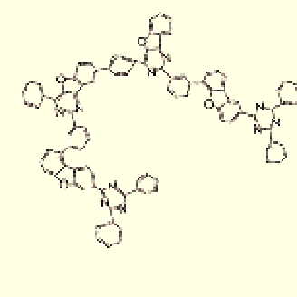 c1ccc(-c2nc(-c3ccccc3)nc(-c3ccc4c(c3)oc3cccc(-c5cccc(-c6nc(-c7ccccc7)c7oc8ccc(-c9ccc(-c%10nc(-c%11cccc(-c%12cccc%13c%12oc%12ccc(-c%14nc(-c%15ccccc%15)nc(-c%15ccccc%15)n%14)cc%12%13)c%11)nc%11c%10oc%10ccccc%10%11)cc9)cc8c7n6)c5)c34)n2)cc1